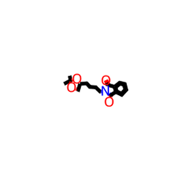 CC1(C)OCC(CCCCN2C(=O)c3ccccc3C2=O)O1